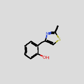 Cc1nc(-c2ccccc2O)cs1